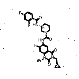 CC(C)n1c(=O)n(CC2CC2)c(=O)c2cc(NC(=O)N3CCC[C@@H](NC(=O)c4ccc(F)cc4F)C3)c(F)cc21